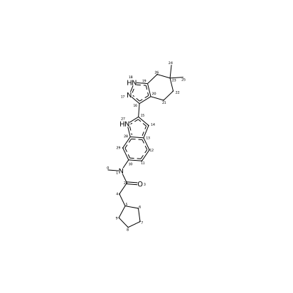 CN(C(=O)CC1CCCC1)c1ccc2cc(-c3n[nH]c4c3CCC(C)(C)C4)[nH]c2c1